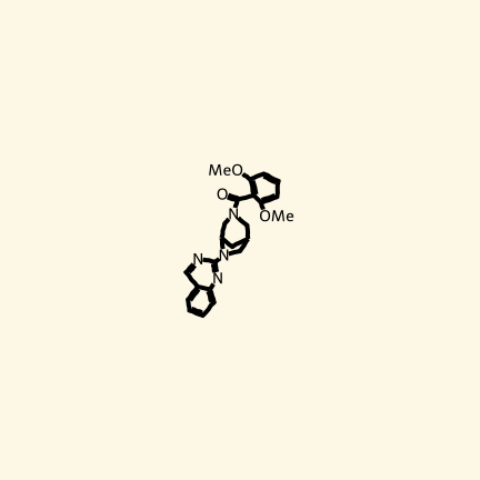 COc1cccc(OC)c1C(=O)N1CC2CC(C1)N(c1ncc3ccccc3n1)C2